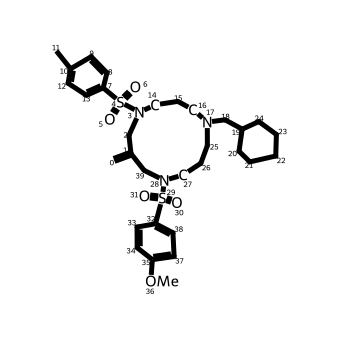 C=C1CN(S(=O)(=O)c2ccc(C)cc2)CCCN(CC2CCCCC2)CCCN(S(=O)(=O)c2ccc(OC)cc2)C1